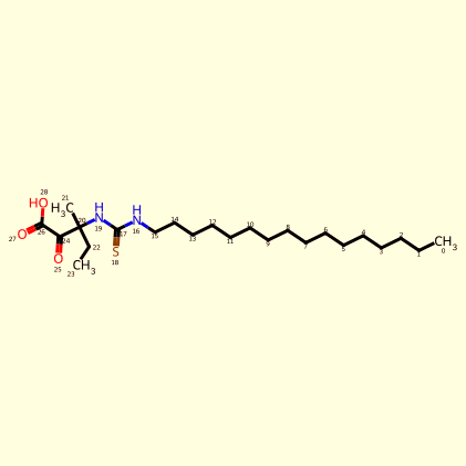 CCCCCCCCCCCCCCCCNC(=S)NC(C)(CC)C(=O)C(=O)O